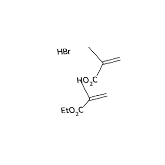 Br.C=C(C)C(=O)O.C=C(C)C(=O)OCC